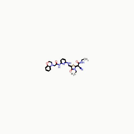 CCNC(=O)C(C#N)=c1sc(=CNc2cccc(NC(=O)CN3CCOc4ccccc43)n2)c(=O)n1CC